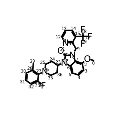 COc1cccc2c1n(Cc1ncccc1C(F)(F)F)c(=O)n2C1CCN(c2c(C)cccc2F)CC1